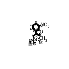 CCOP(=O)(Cc1c(C)oc2c([N+](=O)[O-])cccc12)OCC